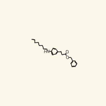 CCCCCCCCNc1ccc(CCC(=O)OCc2ccccc2)cc1